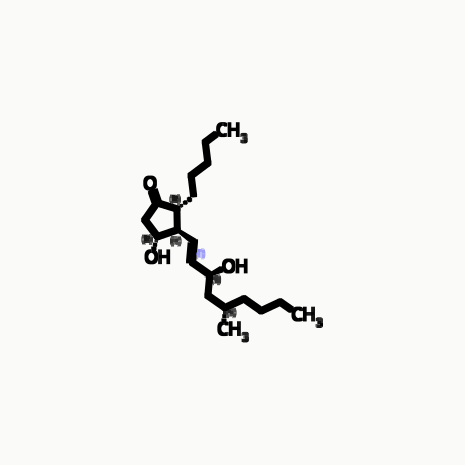 CCCCC[C@H]1C(=O)C[C@@H](O)[C@@H]1/C=C/[C@@H](O)C[C@@H](C)CCCC